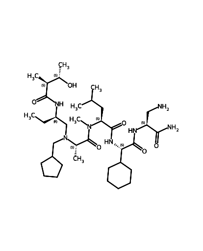 CC[C@H](CN(CC1CCCC1)[C@@H](C)C(=O)N(C)[C@@H](CC(C)C)C(=O)N[C@H](C(=O)N[C@@H](CN)C(N)=O)C1CCCCC1)NC(=O)[C@@H](C)[C@H](C)O